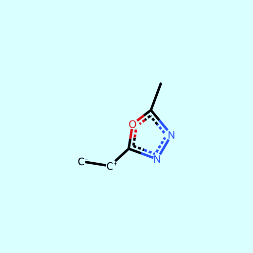 [CH2-][CH+]c1nnc(C)o1